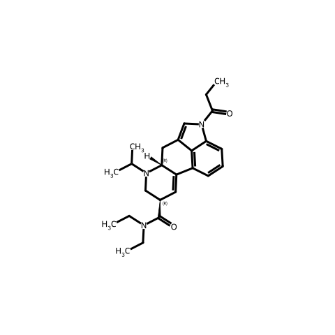 CCC(=O)n1cc2c3c(cccc31)C1=C[C@@H](C(=O)N(CC)CC)CN(C(C)C)[C@@H]1C2